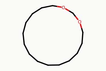 C1CCCCCCCOCOCCCCCC1